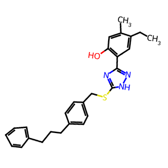 CCc1cc(-c2n[nH]c(SCc3ccc(CCCc4ccccc4)cc3)n2)c(O)cc1C